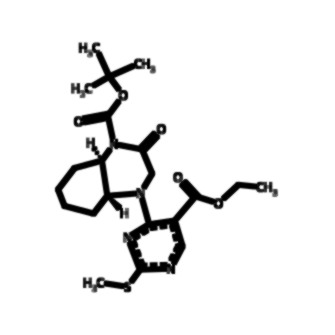 CCOC(=O)c1cnc(SC)nc1N1CC(=O)N(C(=O)OC(C)(C)C)[C@@H]2CCCC[C@H]21